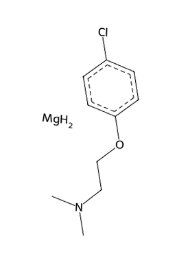 CN(C)CCOc1ccc(Cl)cc1.[MgH2]